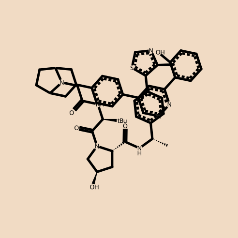 Cc1ncsc1-c1ccc([C@H](C)NC(=O)[C@@H]2C[C@@H](O)CN2C(=O)[C@@H](NC(=O)CN2C3CCC2CC(c2ccc(-c4cnnc(-c5ccccc5O)c4)cc2)C3)C(C)(C)C)cc1